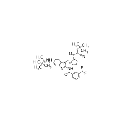 C[C@H](NCc1ccc2c(c1)nc(NC(=O)c1cccc(C(F)F)c1)n2C[C@H]1CCCN1C(=O)C(C#N)=CC(C)(C)C)C(C)(C)C